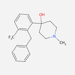 CN1CCC(O)(c2cccc(C(F)(F)F)c2Cc2ccccc2)CC1